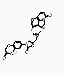 O=C1COc2ccc(N3C[C@@H](CNC[C@H]4Cn5c(=O)ccc6ncc(F)c4c65)OC3=O)cc2N1